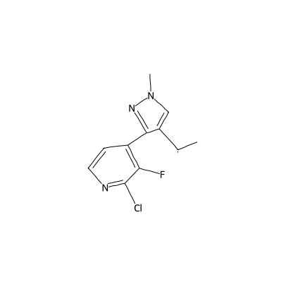 C[CH]c1cn(C)nc1-c1ccnc(Cl)c1F